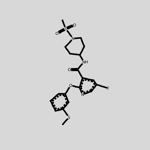 CSc1cccc(Oc2ncc(F)cc2C(=O)NC2CCN(S(C)(=O)=O)CC2)c1